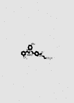 COC(CN1C(=O)C(c2cccc(C(F)(F)F)c2)=NC12CCC(C(C)(C)C)CC2)c1ccc(C(=O)NCCC(=O)O)cc1